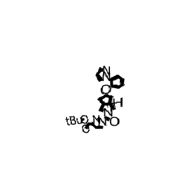 CC(C)(C)OC(=O)c1ccn(C(=O)N2CC3CC(Oc4ccccc4-n4cccn4)C[C@@H]3C2)n1